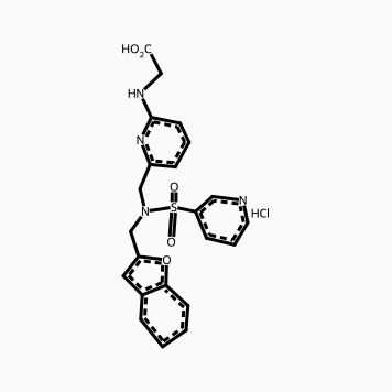 Cl.O=C(O)CNc1cccc(CN(Cc2cc3ccccc3o2)S(=O)(=O)c2cccnc2)n1